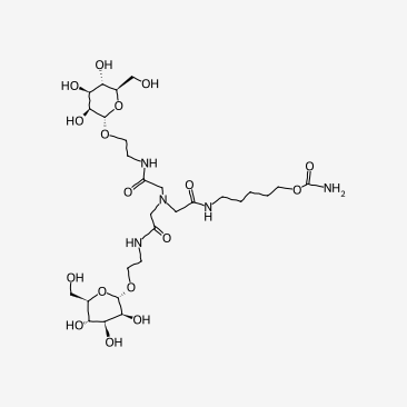 NC(=O)OCCCCCNC(=O)CN(CC(=O)NCCO[C@H]1O[C@H](CO)[C@@H](O)[C@H](O)[C@@H]1O)CC(=O)NCCO[C@H]1O[C@H](CO)[C@@H](O)[C@H](O)[C@@H]1O